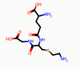 NCCSCC(NC(=O)CCC(N)C(=O)O)C(=O)NCC(=O)O